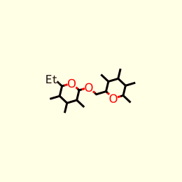 CCC1OC(OCC2OC(C)C(C)C(C)C2C)C(C)C(C)C1C